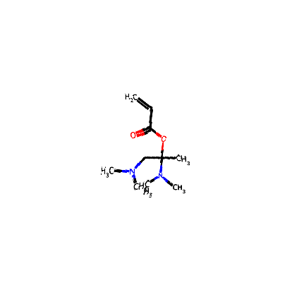 C=CC(=O)OC(C)(CN(C)C)N(C)C